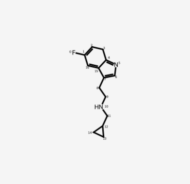 FC1=CCC2=NC=C(CCNCC3CC3)C2=C1